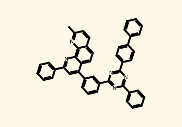 Cc1ccc2ccc3c(-c4cccc(-c5nc(-c6ccccc6)nc(-c6ccc(-c7ccccc7)cc6)n5)c4)cc(-c4ccccc4)nc3c2n1